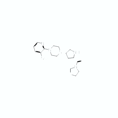 O=C([C@@H]1C[C@H](N2CCN(c3ncccc3[N+](=O)[O-])CC2)CN1)N1CCSC1